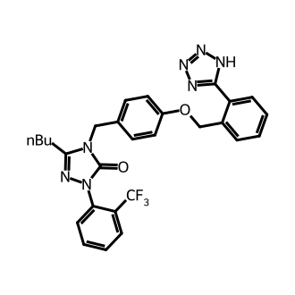 CCCCc1nn(-c2ccccc2C(F)(F)F)c(=O)n1Cc1ccc(OCc2ccccc2-c2nnn[nH]2)cc1